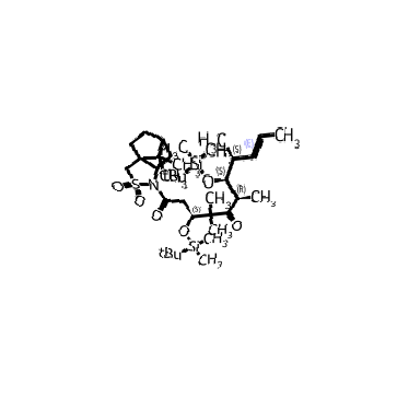 C/C=C/[C@H](C)[C@H](O[Si](C)(C)C(C)(C)C)[C@@H](C)C(=O)C(C)(C)[C@H](CC(=O)N1C2CC3CCC2(CS1(=O)=O)C3(C)C)O[Si](C)(C)C(C)(C)C